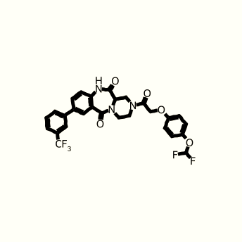 O=C1Nc2ccc(-c3cccc(C(F)(F)F)c3)cc2C(=O)N2CCN(C(=O)COc3ccc(OC(F)F)cc3)CC12